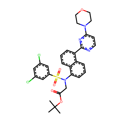 CC(C)(C)OC(=O)CN(c1cccc2c(-c3nccc(N4CCOCC4)n3)cccc12)S(=O)(=O)c1cc(Cl)cc(Cl)c1